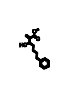 C=C(C(=O)OC)C(O)CCCCc1ccccc1